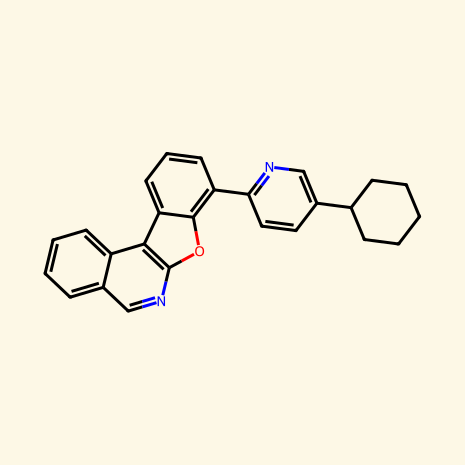 c1ccc2c(c1)cnc1oc3c(-c4ccc(C5CCCCC5)cn4)cccc3c12